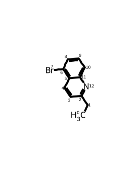 CCc1ccc2c(Br)cccc2n1